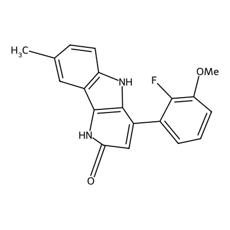 COc1cccc(-c2cc(=O)[nH]c3c2[nH]c2ccc(C)cc23)c1F